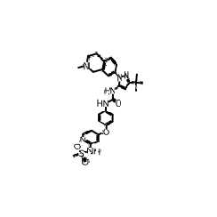 CN1CCc2ccc(-n3nc(C(C)(C)C)cc3NC(=O)Nc3ccc(Oc4ccnc(NS(C)(=O)=O)c4)cc3)cc2C1